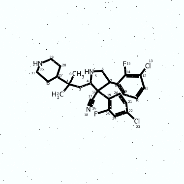 CC(C)(CC1NCC(c2cccc(Cl)c2F)C1(C#N)c1ccc(Cl)cc1F)C1CCNCC1